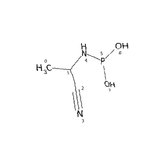 CC(C#N)NP(O)O